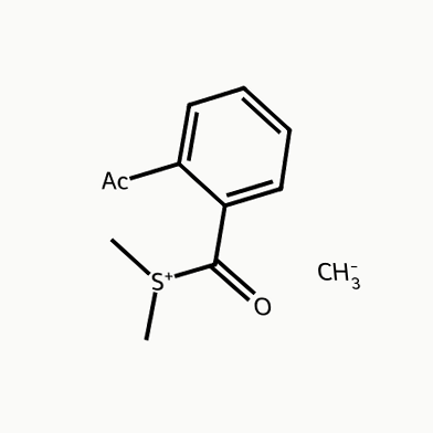 CC(=O)c1ccccc1C(=O)[S+](C)C.[CH3-]